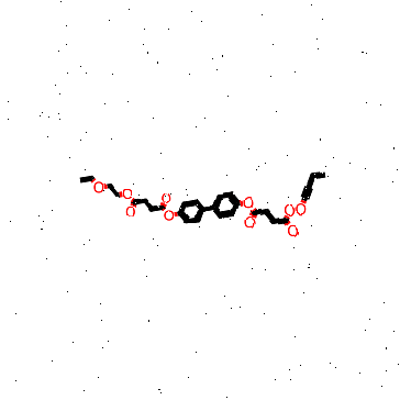 CCC#COOC(=O)CCC(=O)Oc1ccc(-c2ccc(OC(=O)CCC(=O)OCCOCC)cc2)cc1